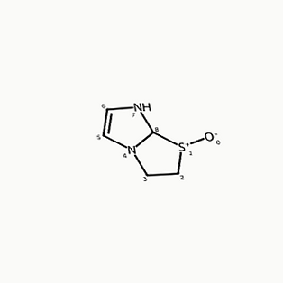 [O-][S+]1CCN2C=CNC21